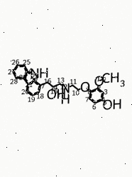 COc1cc(O)ccc1OCCNC[C@@H](O)Cc1cccc2c1[nH]c1ccccc12